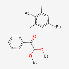 CC(=O)c1c(C)cc(C(C)(C)C)cc1C.CCOC(OCC)C(=O)c1ccccc1